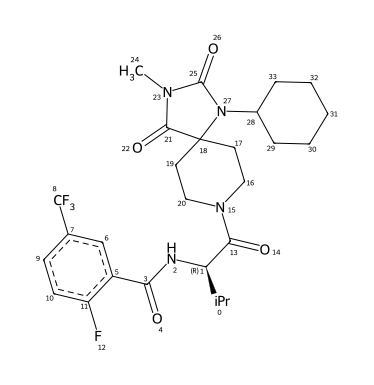 CC(C)[C@@H](NC(=O)c1cc(C(F)(F)F)ccc1F)C(=O)N1CCC2(CC1)C(=O)N(C)C(=O)N2C1CCCCC1